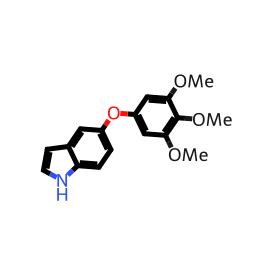 COc1cc(Oc2ccc3[nH]ccc3c2)cc(OC)c1OC